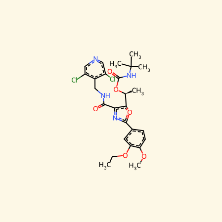 CCOc1cc(-c2nc(C(=O)NCc3c(Cl)cncc3Cl)c([C@H](C)OC(=O)NC(C)(C)C)o2)ccc1OC